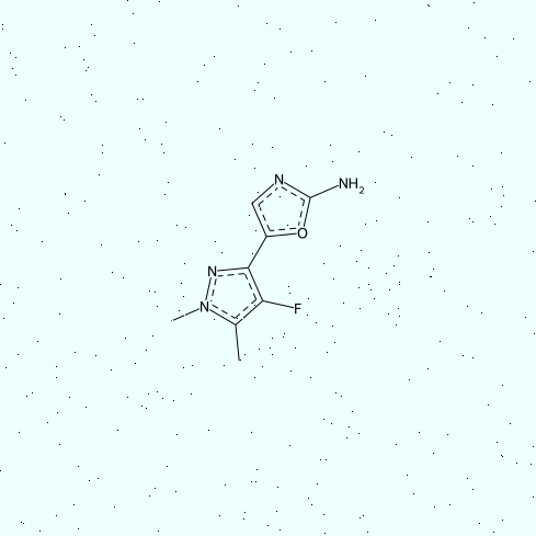 Cc1c(F)c(-c2cnc(N)o2)nn1C